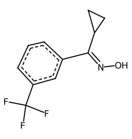 O/N=C(/c1cccc(C(F)(F)F)c1)C1CC1